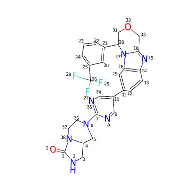 O=C1NCC2CN(c3ncc(-c4ccc5nc6n(c5c4)C(c4cccc(C(F)(F)F)c4)COC6)cn3)CCN12